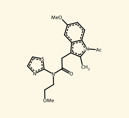 COCCN(C(=O)Cc1c(C)n(C(C)=O)c2ccc(OC)cc12)c1nccs1